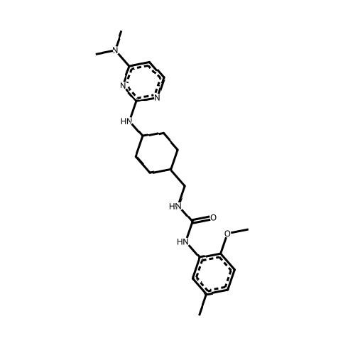 COc1ccc(C)cc1NC(=O)NCC1CCC(Nc2nccc(N(C)C)n2)CC1